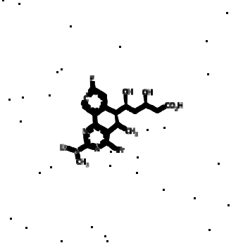 CCN(C)c1nc2c(c(C(C)C)n1)C(C)[C@H]([C@@H](O)C[C@@H](O)CC(=O)O)c1cc(F)ccc1-2